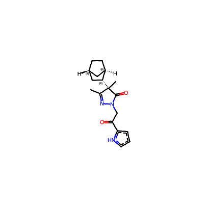 CC1=NN(CC(=O)c2ccc[nH]2)C(=O)C1(C)[C@@H]1C[C@@H]2CC[C@@H]1C2